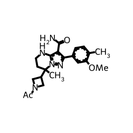 COc1cc(-c2nn3c(c2C(N)=O)NCCC3(C)C2CN(C(C)=O)C2)ccc1C